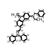 CCN(Cc1ccccc1)c1ccc2c(c1)c1cc(C=NN(c3ccccc3)c3ccccc3)ccc1n2C